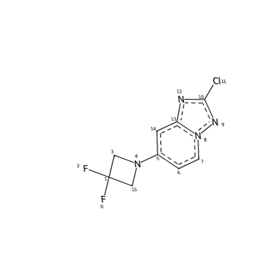 FC1(F)CN(c2ccn3nc(Cl)nc3c2)C1